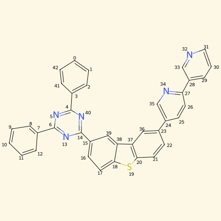 c1ccc(-c2nc(-c3ccccc3)nc(-c3ccc4sc5ccc(-c6ccc(-c7cccnc7)nc6)cc5c4c3)n2)cc1